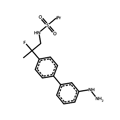 CC(C)S(=O)(=O)NCC(C)(F)c1ccc(-c2cccc(NN)c2)cc1